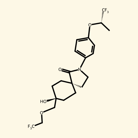 C[C@H](Oc1ccc(N2CC[C@]3(CC[C@@](O)(COCC(F)(F)F)CC3)C2=O)cc1)C(F)(F)F